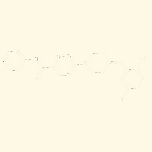 O=C(Nc1ccccc1)c1ccc(N2CCC(=Cc3cc(F)ccc3C(F)(F)F)CC2)nn1